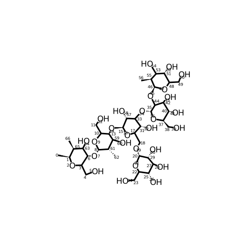 C[C@@H]1OC(CO)[C@@H](O[C@@H]2OC(CO)[C@@H](O[C@@H]3OC(CO[C@H]4OC(CO)[C@@H](O)C(O)[C@H]4O)[C@@H](O)C(O[C@H]4O[C@H](CO)[C@@H](O)C(O)C4O[C@@H]4OC(CO)[C@@H](O)C(O)[C@@H]4C)[C@H]3O)C(O)[C@@H]2C)C(O)[C@@H]1C